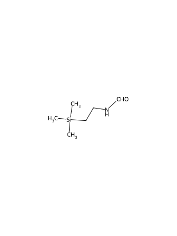 C[Si](C)(C)CCNC=O